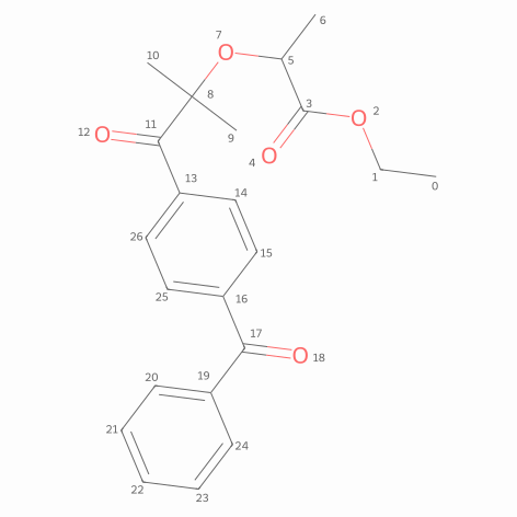 CCOC(=O)C(C)OC(C)(C)C(=O)c1ccc(C(=O)c2ccccc2)cc1